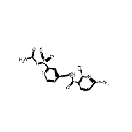 NC(=O)OS(=O)(=O)c1cc(NC(=O)c2ccc(C(F)(F)F)nc2Cl)ccn1